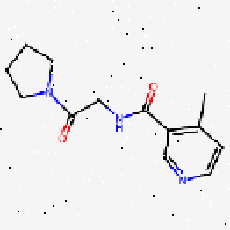 Cc1ccncc1C(=O)NCC(=O)N1CCCC1